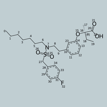 CCCCCCCN(CCc1cccc(O[C@](C)(CC)C(=O)O)c1)S(=O)(=O)Cc1ccc(F)cc1